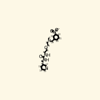 CN(CCOCCNC(=O)NSc1cccnc1)Cc1cccc([N+](=O)[O-])c1